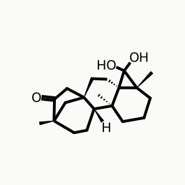 C[C@@]12CC[C@@H]3[C@@](CC[C@]45C(O)(O)[C@]4(C)CCC[C@@]35C)(CC1=O)C2